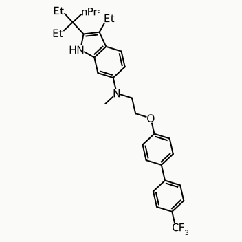 CC[C]C(CC)(CC)c1[nH]c2cc(N(C)CCOc3ccc(-c4ccc(C(F)(F)F)cc4)cc3)ccc2c1CC